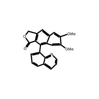 COc1cc2cc3c(c(-c4cccc5cccnc45)c2cc1OC)C(=O)OC3